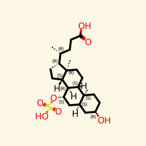 C[C@H](CCC(=O)O)[C@H]1CC[C@H]2[C@@H]3[C@@H](OS(=O)(=O)O)C[C@@H]4C[C@H](O)CC[C@]4(C)[C@H]3CC[C@]12C